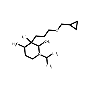 CC(C)N1CCC(C)C(C)(CCCOCC2CC2)C1C